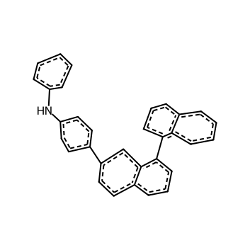 c1ccc(Nc2ccc(-c3ccc4cccc(-c5cccc6ccccc56)c4c3)cc2)cc1